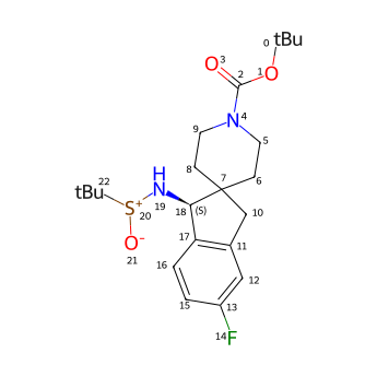 CC(C)(C)OC(=O)N1CCC2(CC1)Cc1cc(F)ccc1[C@H]2N[S+]([O-])C(C)(C)C